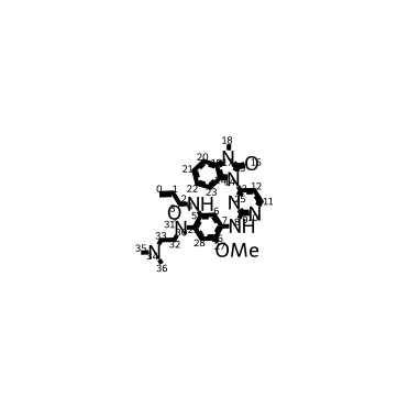 C=CC(=O)Nc1cc(Nc2nccc(-n3c(=O)n(C)c4ccccc43)n2)c(OC)cc1N(C)CCN(C)C